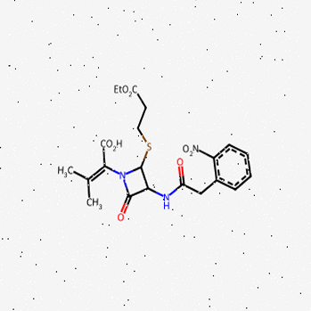 CCOC(=O)CCSC1C(NC(=O)Cc2ccccc2[N+](=O)[O-])C(=O)N1C(C(=O)O)=C(C)C